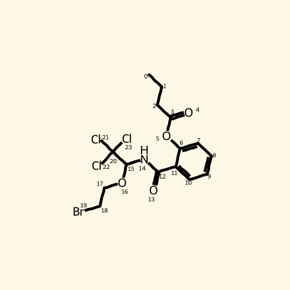 CCCC(=O)Oc1ccccc1C(=O)NC(OCCBr)C(Cl)(Cl)Cl